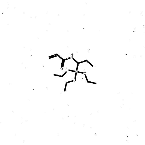 C=CC(=O)NC(CC)[Si](OCC)(OCC)OCC